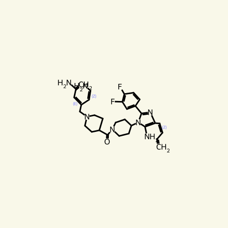 C=C/C=C\c1nc(-c2ccc(F)c(F)c2)n(C2CCN(C(=O)C3CCN(CC(/C=C\N)=C/C(=C)N)CC3)CC2)c1N